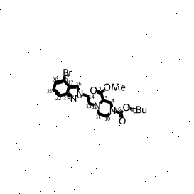 COC(=O)C1CN(C(=O)OC(C)(C)C)CCN1CCn1cc2c(Br)cccc2n1